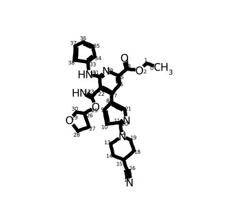 CCOC(=O)c1cc(-c2ccc(N3CCC(C#N)CC3)nc2)c(C(=N)OC2CCOC2)c(Nc2ccccc2)n1